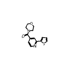 O=C(c1ccnc(-c2cccs2)c1)N1CCOCC1